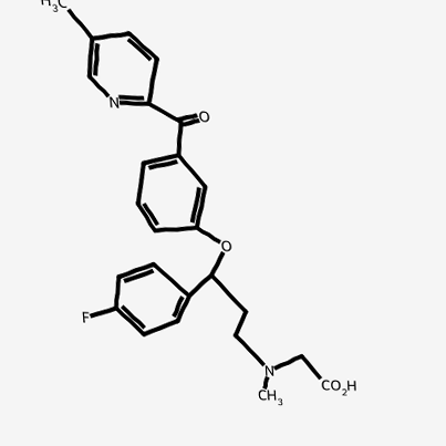 Cc1ccc(C(=O)c2cccc(OC(CCN(C)CC(=O)O)c3ccc(F)cc3)c2)nc1